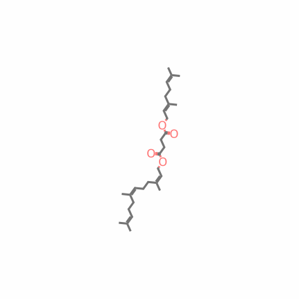 CC(C)=CCCC(C)=CCCC(C)=CCOC(=O)CCC(=O)OC/C=C(\C)CCC=C(C)C